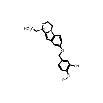 CC(C)Oc1ccc(COc2ccc3c(c2)cc2n3CCO[C@@H]2CC(=O)O)cc1C#N